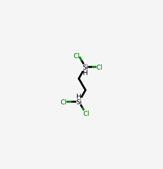 Cl[SiH](Cl)CC[SiH](Cl)Cl